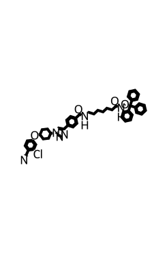 N#Cc1ccc(OC2CCC(n3cc(-c4ccc(C(=O)NCCCCCCC(=O)NOC(c5ccccc5)(c5ccccc5)c5ccccc5)cc4)nn3)CC2)cc1Cl